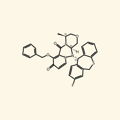 C[C@H]1COC[C@@H]2N1C(=O)c1c(OCc3ccccc3)c(=O)ccn1N2[C@H]1c2ccc(F)cc2CSc2ccccc21